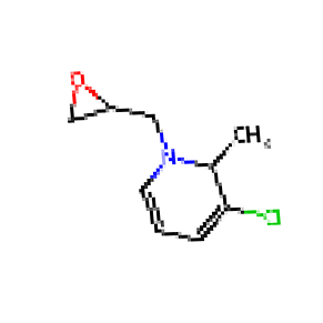 CC1C(Cl)=CC=CN1CC1CO1